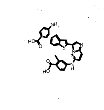 Cc1cc(Nc2ccc3ncc(-c4cc5ccccc5s4)n3n2)ccc1C(=O)O.Nc1ccc(C(=O)O)cc1